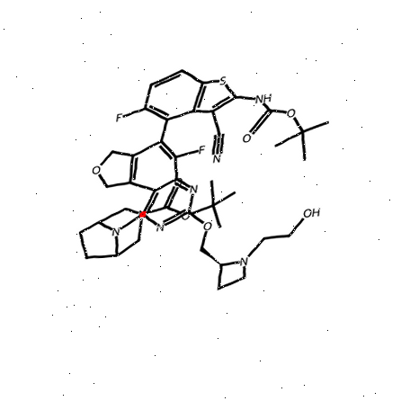 CC(C)(C)OC(=O)Nc1sc2ccc(F)c(-c3c4c(c5c(N6C7CCC6CN(C(=O)OC(C)(C)C)C7)nc(OC[C@@H]6CCN6CCO)nc5c3F)COC4)c2c1C#N